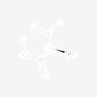 C=C(OC)[C@H](N)C(C)C